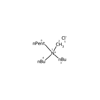 CCCCC[N+](C)(CCCC)CCCC.[Cl-]